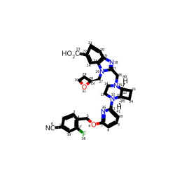 N#Cc1ccc(COc2cccc(N3CCN(Cc4nc5ccc(C(=O)O)cc5n4C[C@@H]4CCO4)[C@H]4CC[C@H]43)n2)c(F)c1